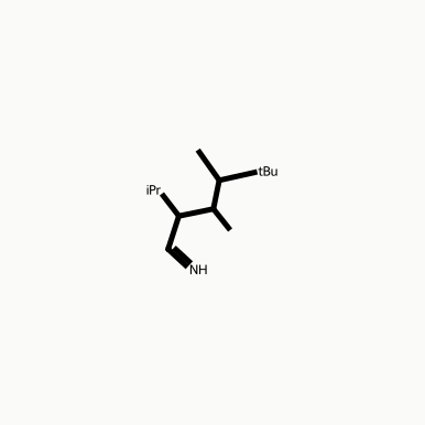 CC(C)C(C=N)C(C)C(C)C(C)(C)C